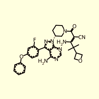 CC(C)(C(N)=C(C#N)C(=O)N1CCC[C@@H](n2nc(-c3ccc(Oc4ccccc4)cc3F)c3c(N)ncnc32)C1)C1COC1